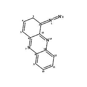 [N-]=[N+]=C1CC=Cc2nc3ccccc3nc21